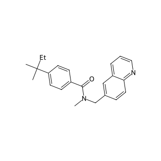 CCC(C)(C)c1ccc(C(=O)N(C)Cc2ccc3ncccc3c2)cc1